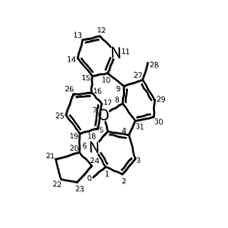 Cc1ccc2c(n1)oc1c(-c3ncccc3-c3ccc(C4CCCC4)cc3)c(C)ccc12